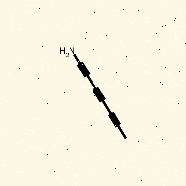 CC#CC#CC#CN